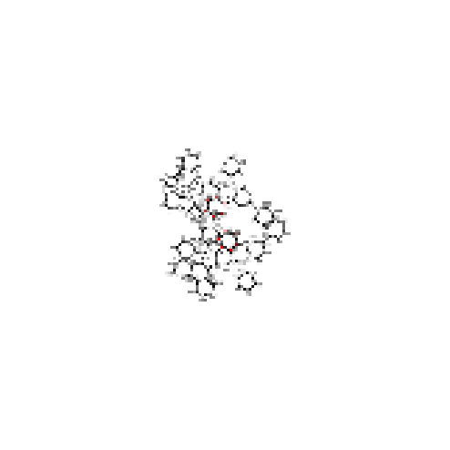 c1ccc(-c2ccc(N(c3ccccc3)c3cc4c(c5ccccc35)C3(c5ccccc5-c5ccccc53)c3c-4c4ccccc4c4ccccc34)c(-c3cccc(-c4ccc5c(c4)-c4ccccc4C54c5c(cc(N(c6ccccc6)c6ccc(-c7ccccc7)cc6-c6ccccc6)c6ccccc56)-c5c4c4ccccc4c4ccccc54)c3)c2)cc1